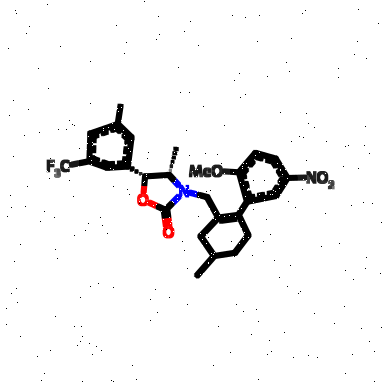 COc1ccc([N+](=O)[O-])cc1C1=C(CN2C(=O)O[C@H](c3cc(C)cc(C(F)(F)F)c3)[C@@H]2C)CC(C)CC1